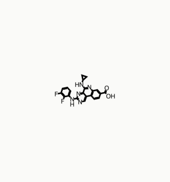 O=C(O)c1ccc2c(c1)nc(NC1CC1)c1nc(Nc3cccc(F)c3F)ncc12